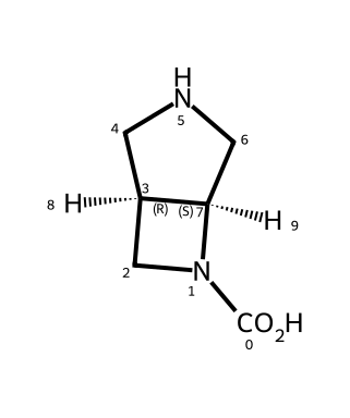 O=C(O)N1C[C@H]2CNC[C@H]21